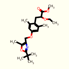 CCOC(Cc1c(C)cc(OCc2nc(C(C)(C)C)oc2C)cc1C)C(=O)OC